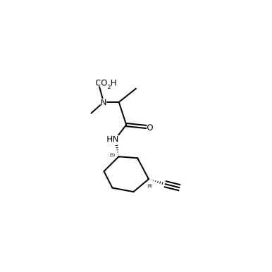 C#C[C@@H]1CCC[C@H](NC(=O)C(C)N(C)C(=O)O)C1